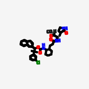 CC(C)(c1cccc(Cl)c1)C(OC(=O)NC1CCCCC1CCC(=O)N[C@@H](CC1CCNC1=O)C(=O)C(=O)O)c1ccc2ccccc2c1